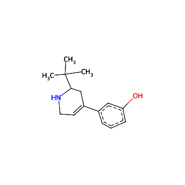 CC(C)(C)C1CC(c2cccc(O)c2)=CCN1